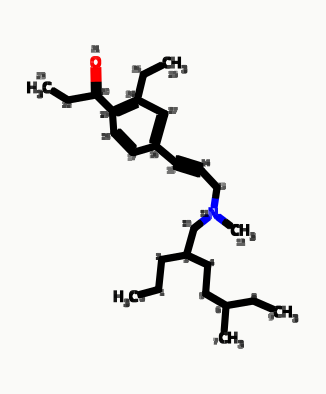 CCCC(CCC(C)CC)CN(C)CC#Cc1ccc(C(=O)CC)c(CC)c1